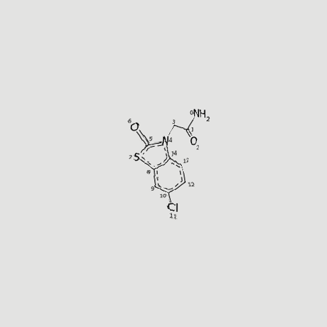 NC(=O)Cn1c(=O)sc2cc(Cl)ccc21